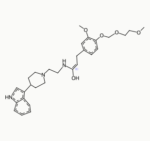 COCCOCOc1ccc(C/C=C(/O)NCCN2CCC(c3c[nH]c4ccccc34)CC2)cc1OC